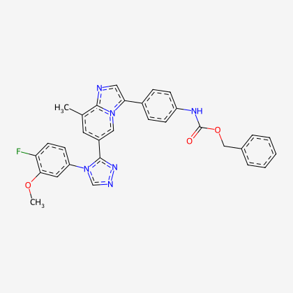 COc1cc(-n2cnnc2-c2cc(C)c3ncc(-c4ccc(NC(=O)OCc5ccccc5)cc4)n3c2)ccc1F